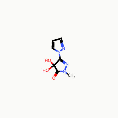 CN1N=C(n2cccn2)C(O)(O)C1=O